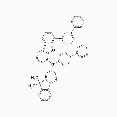 CC1(C)c2ccccc2-c2ccc(N(c3ccc(-c4ccccc4)cc3)c3cccc4c3oc3c(-c5cccc(-c6ccccc6)c5)cccc34)cc21